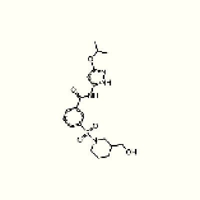 CC(C)Oc1cc(NC(=O)c2cccc(S(=O)(=O)N3CCCC(CO)C3)c2)[nH]n1